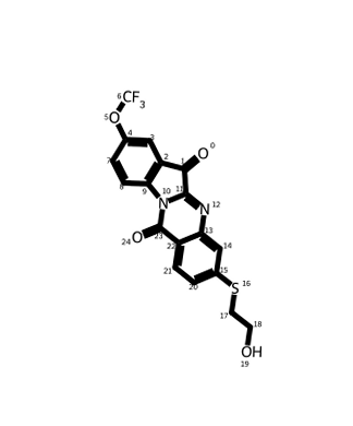 O=C1c2cc(OC(F)(F)F)ccc2-n2c1nc1cc(SCCO)ccc1c2=O